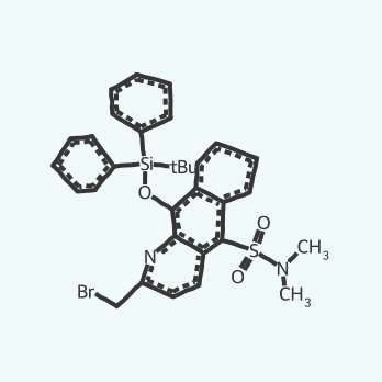 CN(C)S(=O)(=O)c1c2ccccc2c(O[Si](c2ccccc2)(c2ccccc2)C(C)(C)C)c2nc(CBr)ccc12